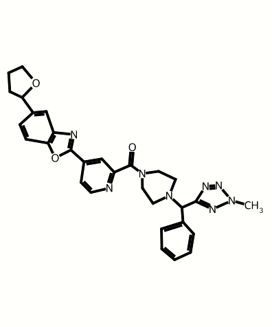 Cn1nnc(C(c2ccccc2)N2CCN(C(=O)c3cc(-c4nc5cc(C6CCCO6)ccc5o4)ccn3)CC2)n1